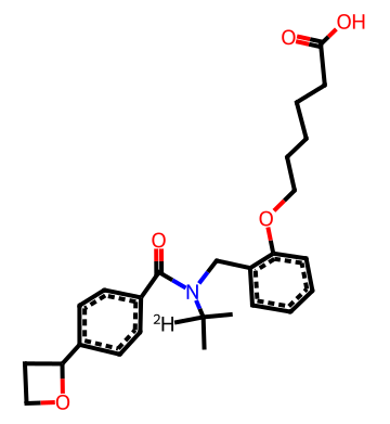 [2H]C(C)(C)N(Cc1ccccc1OCCCCCC(=O)O)C(=O)c1ccc(C2CCO2)cc1